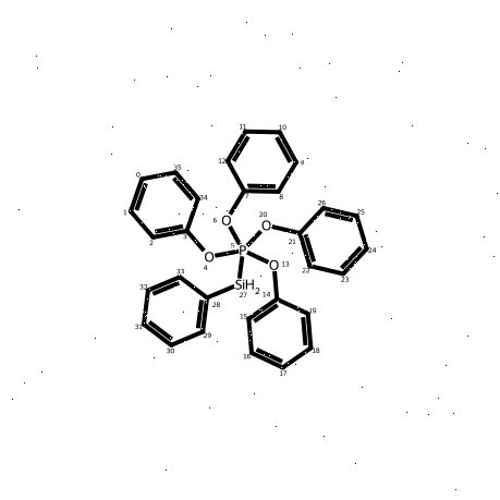 c1ccc(OP(Oc2ccccc2)(Oc2ccccc2)(Oc2ccccc2)[SiH2]c2ccccc2)cc1